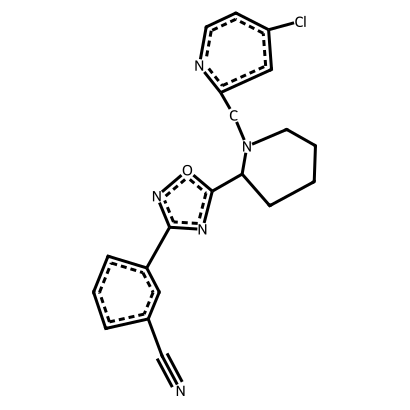 N#Cc1cccc(-c2noc(C3CCCCN3Cc3cc(Cl)ccn3)n2)c1